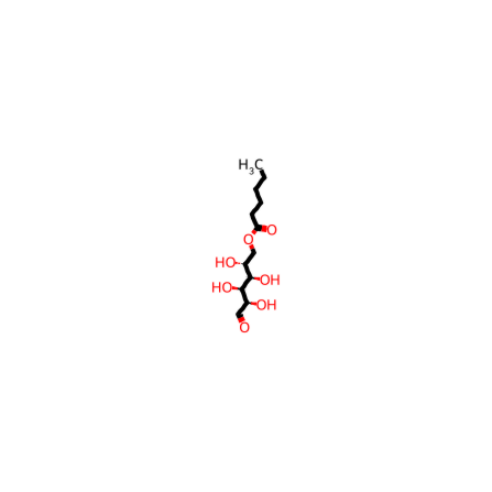 CCCCCC(=O)OC[C@@H](O)[C@@H](O)[C@H](O)[C@@H](O)C=O